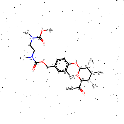 COC(=O)[C@H]1O[C@@H](Oc2ccc(COC(=O)N(C)CCN(C)C(=O)OC(C)(C)C)cc2[N+](=O)[O-])[C@H](C)[C@@H](OC(C)=O)[C@@H]1OC(C)=O